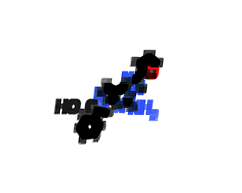 C[C@](C(=O)O)(c1ccccc1)n1ncc2c1nc(N)n1nc(-c3ccco3)nc21